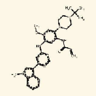 C=CC(=O)Nc1cc(Nc2cc(-c3cn(C)c4ccccc34)ncn2)c(OC)cc1N1CCN(C(C)(C)C)CC1